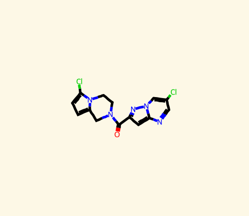 O=C(c1cc2ncc(Cl)cn2n1)N1CCn2c(Cl)ccc2C1